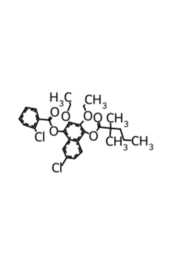 CCCC(C)(C)C(=O)Oc1c(OCC)c(OCC)c(OC(=O)c2ccccc2Cl)c2cc(Cl)ccc12